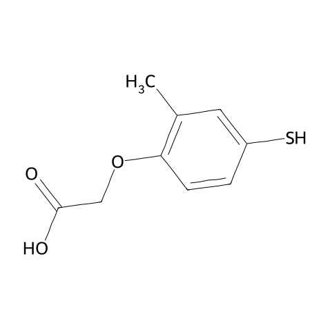 Cc1cc(S)ccc1OCC(=O)O